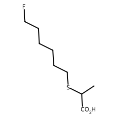 CC(SCCCCCCF)C(=O)O